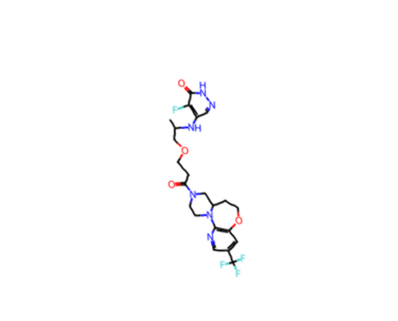 CC(COCCC(=O)N1CCN2c3ncc(C(F)(F)F)cc3OCCC2C1)Nc1cn[nH]c(=O)c1F